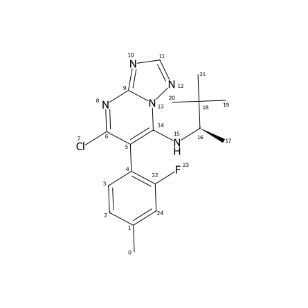 Cc1ccc(-c2c(Cl)nc3ncnn3c2N[C@H](C)C(C)(C)C)c(F)c1